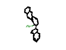 Brc1c(-c2ccc3ccccc3c2)ccc2cc3ccccc3cc12